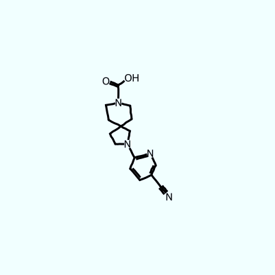 N#Cc1ccc(N2CCC3(CCN(C(=O)O)CC3)C2)nc1